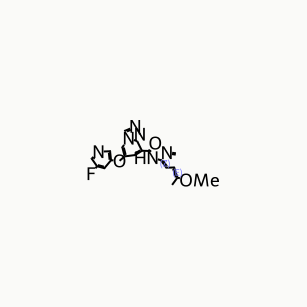 C=N/C(=C\C=C(/C)OC)NC(=O)c1cc(Oc2cncc(F)c2)cn2cnnc12